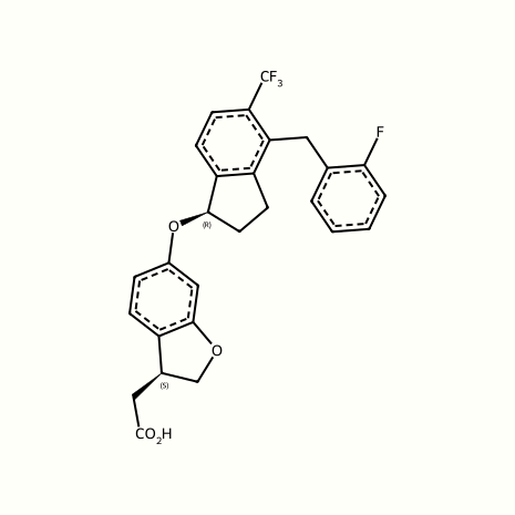 O=C(O)C[C@@H]1COc2cc(O[C@@H]3CCc4c3ccc(C(F)(F)F)c4Cc3ccccc3F)ccc21